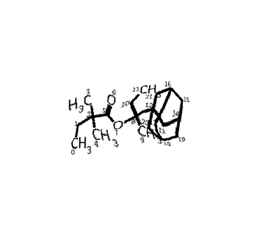 CCC(C)(C)C(=O)OC(C)(CC)C12CC3CC(CC(C3)C1)C2